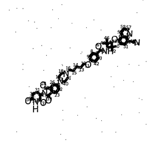 CC1(C)C(NC(=O)c2ccc(OCCCCCN3CCN(c4ccc5c(c4)C(=O)N(C4CCC(=O)NC4=O)C5=O)CC3)cc2)C(C)(C)C1Oc1ccc(C#N)c2ncccc12